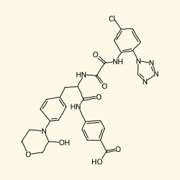 O=C(Nc1cc(Cl)ccc1-n1cnnn1)C(=O)NC(Cc1ccc(N2CCOCC2O)cc1)C(=O)Nc1ccc(C(=O)O)cc1